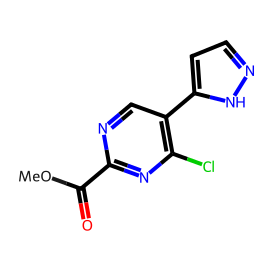 COC(=O)c1ncc(-c2ccn[nH]2)c(Cl)n1